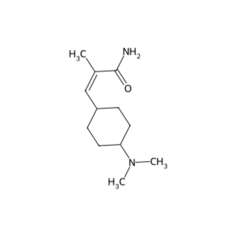 CC(=CC1CCC(N(C)C)CC1)C(N)=O